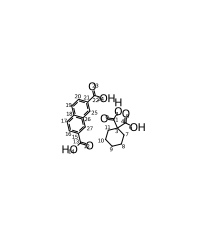 O=C(O)C1(C(=O)O)CCCCC1.O=C(O)c1ccc2ccc(C(=O)O)cc2c1